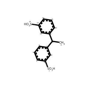 CC(c1cccc(S(=O)(=O)O)c1)c1cccc(S(=O)(=O)O)c1